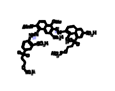 CNc1ccc2c(OC)c(/N=N/c3ccc4cc(S(=O)(=O)O)cc(S(=O)(=O)CCOS(=O)(=O)O)c4c3O)c(S(=O)(=O)O)cc2c1/N=N/c1ccc(S(=O)(=O)CCOS(=O)(=O)O)cc1S(=O)(=O)O